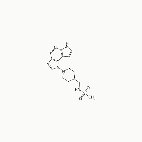 CS(=O)(=O)NCC1CCN(n2cnc3cnc4[nH]ccc4c32)CC1